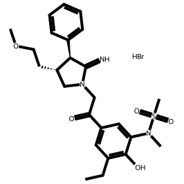 Br.CCc1cc(C(=O)CN2C[C@H](CCOC)[C@@H](c3ccccc3)C2=N)cc(N(C)S(C)(=O)=O)c1O